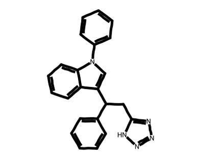 c1ccc(C(Cc2nnn[nH]2)c2cn(-c3ccccc3)c3ccccc23)cc1